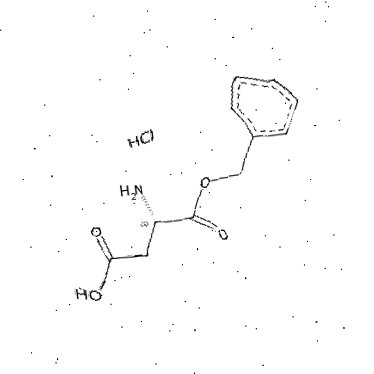 Cl.N[C@@H](CC(=O)O)C(=O)OCc1ccccc1